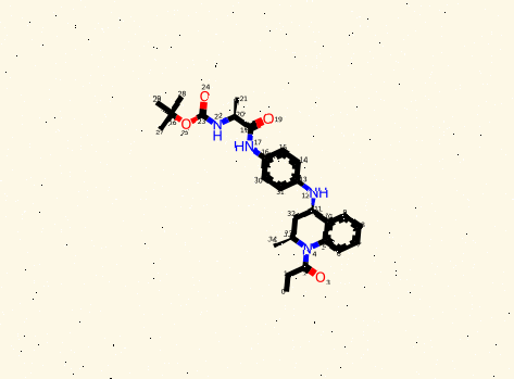 CCC(=O)N1c2ccccc2[C@H](Nc2ccc(NC(=O)[C@H](C)NC(=O)OC(C)(C)C)cc2)C[C@@H]1C